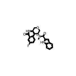 CN(C(=O)c1cc2ccccc2[nH]1)[C@@H]1COCc2[nH]c(=O)c3cc(F)ccc3c21